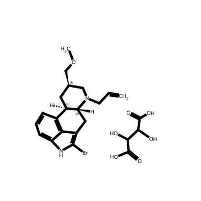 C=CCN1C[C@H](COC)C[C@@H]2c3cccc4[nH]c(Br)c(c34)C[C@H]21.O=C(O)C(O)C(O)C(=O)O